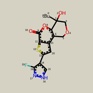 CC(C)(C)C1(O)COCc2c1oc(=O)c1sc(-c3c[nH]nc3F)cc21